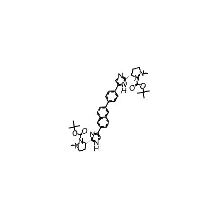 CN1CC[C@@H](c2nc(-c3ccc4cc(-c5ccc(-c6cnc([C@@H]7CCN(C)N7C(=O)OC(C)(C)C)[nH]6)cc5)ccc4c3)c[nH]2)N1C(=O)OC(C)(C)C